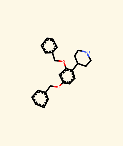 c1ccc(COc2ccc(C3CCNCC3)c(OCc3ccccc3)c2)cc1